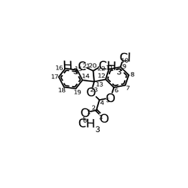 COC(=O)C1Oc2ccc(Cl)cc2C(c2ccccc2)(C(C)C)O1